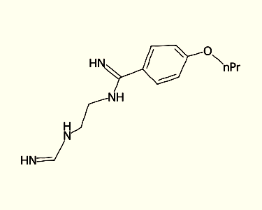 CCCOc1ccc(C(=N)NCCNC=N)cc1